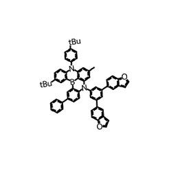 Cc1cc2c3c(c1)N(c1ccc(C(C)(C)C)cc1)c1ccc(C(C)(C)C)cc1B3c1cc(-c3ccccc3)ccc1N2c1cc(-c2ccc3occc3c2)cc(-c2ccc3occc3c2)c1